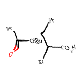 CC(C)COC(=O)C(C)C.CCC(CC(C)C)C(=O)O